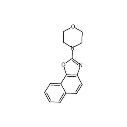 c1ccc2c(c1)ccc1nc(N3CCOCC3)oc12